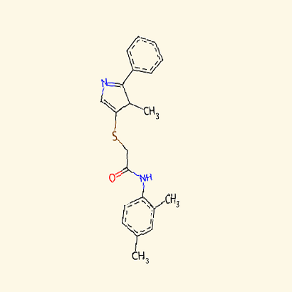 Cc1ccc(NC(=O)CSC2=CN=C(c3ccccc3)C2C)c(C)c1